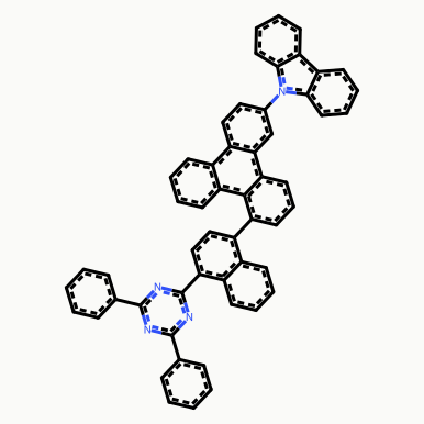 c1ccc(-c2nc(-c3ccccc3)nc(-c3ccc(-c4cccc5c6cc(-n7c8ccccc8c8ccccc87)ccc6c6ccccc6c45)c4ccccc34)n2)cc1